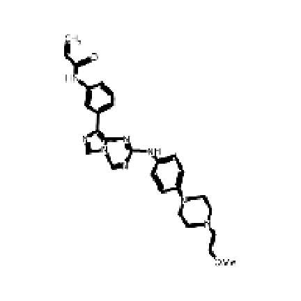 C=CC(=O)Nc1cccc(-c2ncn3cnc(Nc4ccc(N5CCN(CCOC)CC5)cc4)nc23)c1